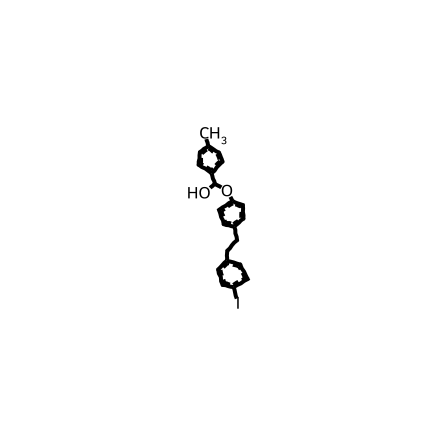 Cc1ccc(C(O)Oc2ccc(CCc3ccc(I)cc3)cc2)cc1